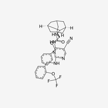 N#Cc1cnc(NCc2ccccc2OC(F)(F)F)nc1NC[C@]12CC3C[C@H](C1)[C@H](NC(=O)OCc1ccccc1)[C@@H](C3)C2